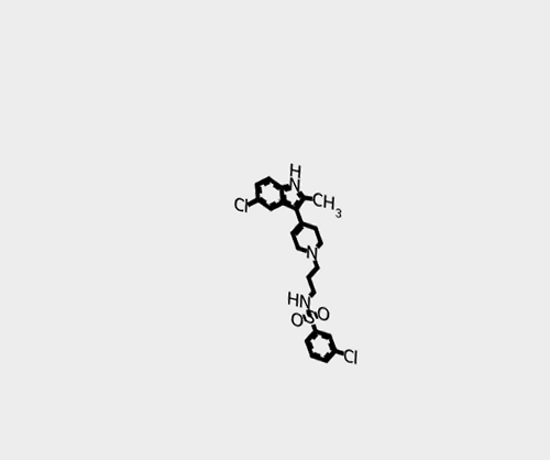 Cc1[nH]c2ccc(Cl)cc2c1C1=CCN(CCCNS(=O)(=O)c2cccc(Cl)c2)CC1